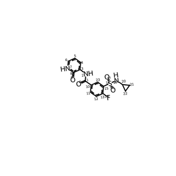 O=C(Nc1ccc[nH]c1=O)c1ccc(F)c(S(=O)(=O)NC2CC2)c1